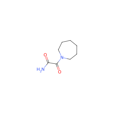 NC(=O)C(=O)N1CCCCCC1